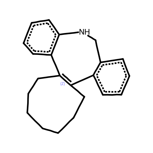 c1ccc2c(c1)CNc1ccccc1/C1=C\2CCCCCCC1